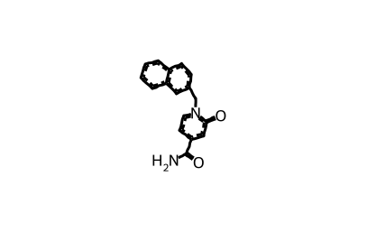 NC(=O)c1ccn(Cc2ccc3ccccc3c2)c(=O)c1